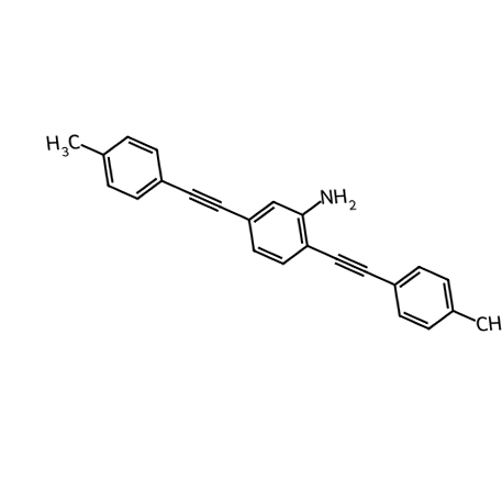 Cc1ccc(C#Cc2ccc(C#Cc3ccc(C)cc3)c(N)c2)cc1